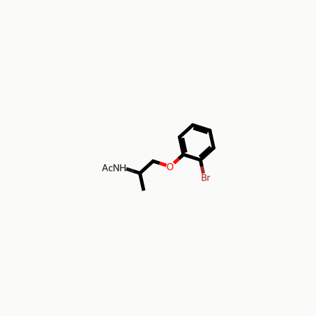 CC(=O)NC(C)COc1ccccc1Br